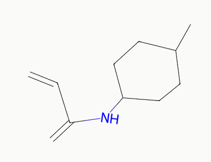 C=CC(=C)NC1CCC(C)CC1